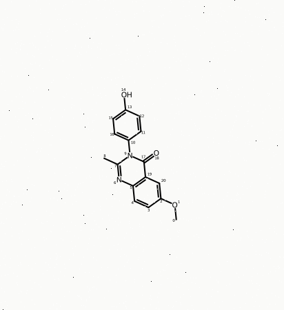 COc1ccc2nc(C)n(-c3ccc(O)cc3)c(=O)c2c1